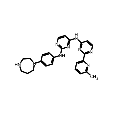 Cc1cccc(-c2nccc(Nc3ccnc(Nc4ccc(N5CCCNCC5)cc4)n3)n2)n1